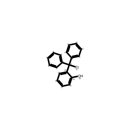 CCC(c1ccccc1)(c1ccccc1)c1ccccc1O